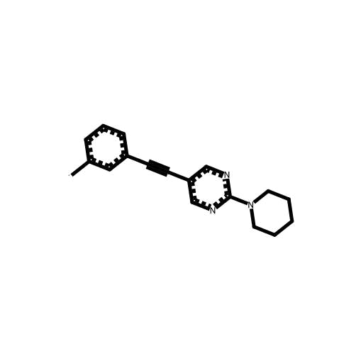 [CH2]c1cccc(C#Cc2cnc(N3CCCCC3)nc2)c1